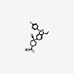 CCc1nn(-c2ccc(F)cc2)c2cc(C3(C#N)CCC(C(=O)O)CC3)ccc12